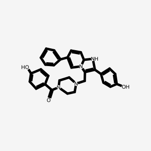 O=C(c1ccc(O)cc1)N1CCN(CC2=C(c3ccc(O)cc3)NC3C=CC(c4ccccc4)=CN23)CC1